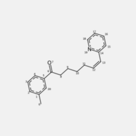 Cc1cccc(C(=O)CCCC/C=C\c2ccccn2)c1